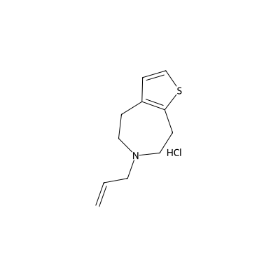 C=CCN1CCc2ccsc2CC1.Cl